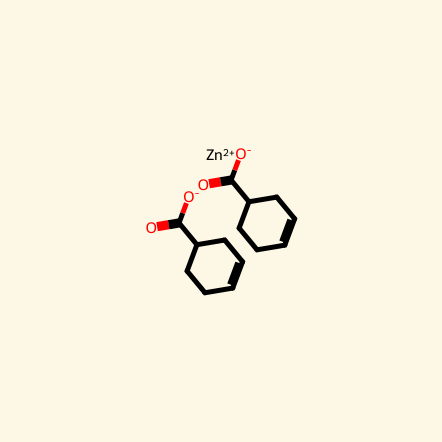 O=C([O-])C1CC=CCC1.O=C([O-])C1CC=CCC1.[Zn+2]